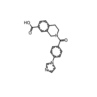 O=C(O)c1ccc2c(c1)CN(C(=O)c1ccc(-n3ccnc3)cc1)CC2